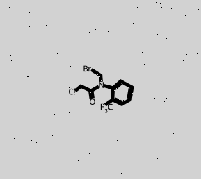 O=C(CCl)N(CBr)c1ccccc1C(F)(F)F